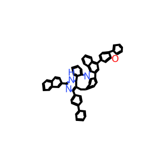 c1ccc(-c2ccc(C3=C4Cc5ccc6c7cc(-c8ccc9c(c8)oc8ccccc89)c8ccccc8c7n(c6c5)-c5ccccc5C4NC(c4ccc5ccccc5c4)=N3)cc2)cc1